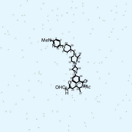 CNc1ccc(N2CCC(CN3CCN(C4CN(c5cccc(C(=O)N(C(C)=O)C(C)CCC(=O)NC=O)c5)C4)CC3C)CC2)cn1